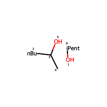 CCCC(C)O.CCCCC(C)O